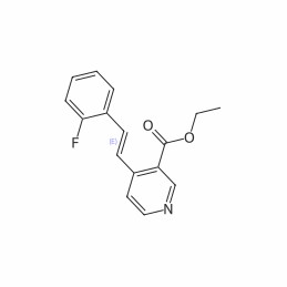 CCOC(=O)c1cnccc1/C=C/c1ccccc1F